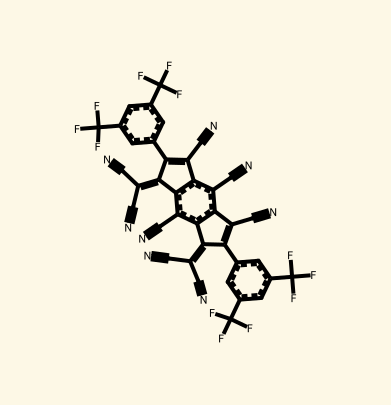 N#CC(C#N)=C1C(c2cc(C(F)(F)F)cc(C(F)(F)F)c2)=C(C#N)c2c(C#N)c3c(c(C#N)c21)C(=C(C#N)C#N)C(c1cc(C(F)(F)F)cc(C(F)(F)F)c1)=C3C#N